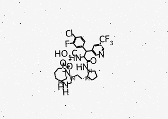 O=C(O)NC(C(=O)N[C@H]1CCC[C@@H]1CC[C@H]1CN[C@@H]2CCCS(=O)(=O)N1C2)C(c1cncc(C(F)(F)F)c1)c1ccc(Cl)c(F)c1